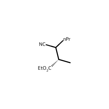 CCCC(C#N)[C@H](C)C(=O)OCC